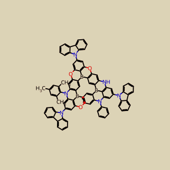 Cc1cc(C)c(N2c3cc4c(cc3B3c5ccccc5Oc5cc(-n6c7ccccc7c7ccccc76)cc2c53)B2c3cc5c(cc3Oc3cc(-n6c7ccccc7c7ccccc76)cc(c32)O4)Nc2cc(-n3c4ccccc4c4ccccc43)cc3c2B5c2ccccc2N3c2ccccc2)c(C)c1